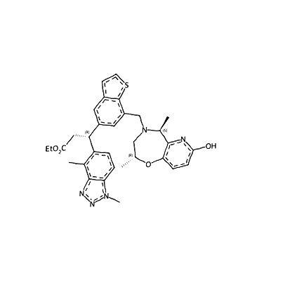 CCOC(=O)C[C@H](c1cc(CN2C[C@@H](C)Oc3ccc(O)nc3[C@@H]2C)c2sccc2c1)c1ccc2c(nnn2C)c1C